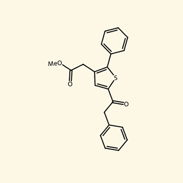 COC(=O)Cc1cc(C(=O)Cc2ccccc2)sc1-c1ccccc1